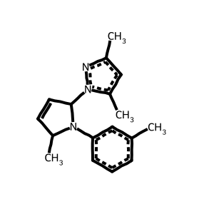 Cc1cccc(N2C(C)C=CC2n2nc(C)cc2C)c1